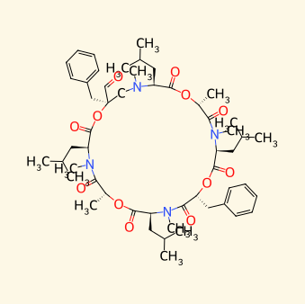 CC(C)C[C@H]1C(=O)O[C@H](C)C(=O)N(C)[C@@H](CC(C)C)C(=O)O[C@H](Cc2ccccc2)C(=O)N(C)[C@@H](CC(C)C)C(=O)O[C@H](C)C(=O)N(C)[C@@H](CC(C)C)C(=O)O[C@](C=O)(Cc2ccccc2)CN1C